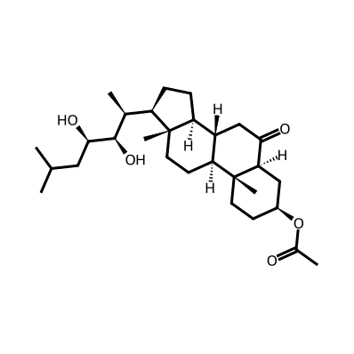 CC(=O)O[C@H]1CC[C@@]2(C)[C@H](C1)C(=O)C[C@@H]1[C@@H]2CC[C@]2(C)[C@@H]([C@H](C)[C@@H](O)[C@H](O)CC(C)C)CC[C@@H]12